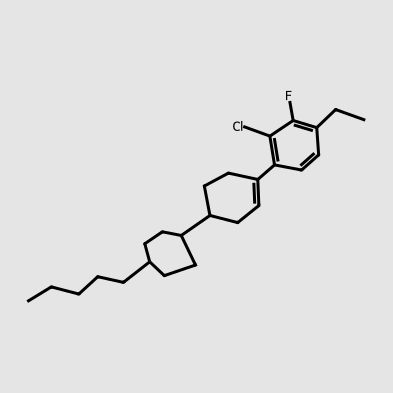 CCCCCC1CCC(C2CC=C(c3ccc(CC)c(F)c3Cl)CC2)CC1